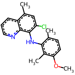 COc1ccc(C)c(Nc2c(Cl)cc(C)c3cccnc23)c1C